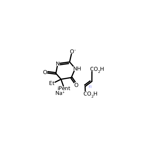 CCCC(C)C1(CC)C(=O)N=C([O-])NC1=O.O=C(O)/C=C/C(=O)O.[Na+]